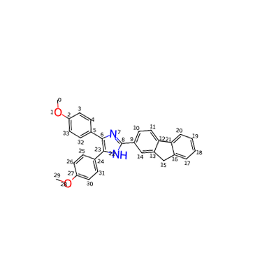 COc1ccc(-c2nc(-c3ccc4c(c3)Cc3ccccc3-4)[nH]c2-c2ccc(OC)cc2)cc1